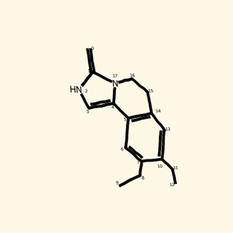 C=C1NC=C2c3cc(CC)c(CC)cc3CCN12